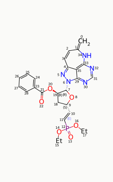 C=c1ccc2nn([C@@H]3O[C@H](/C=C/P(=O)(OCC)OCC)C[C@H]3OC(=O)c3ccccc3)c3ncnc([nH]1)c23